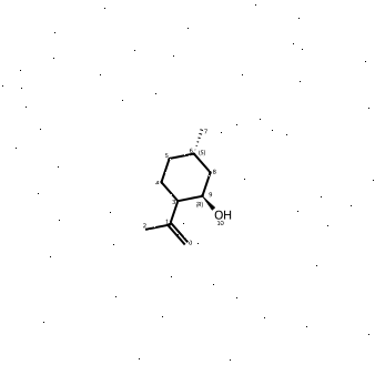 C=C(C)C1CC[C@H](C)C[C@H]1O